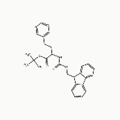 CC(C)(C)OC(=O)C(CCc1cncnc1)NC(=O)OCC1c2ccccc2-c2ccccc21